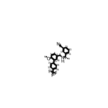 COc1ccc(CN[C@H](C)c2cccc(C#N)c2)cc1-c1ccc(C(F)(F)F)cc1